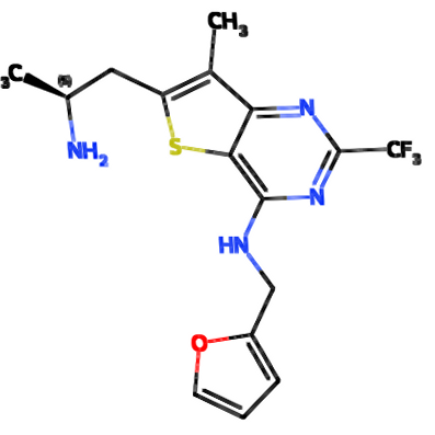 Cc1c(C[C@H](C)N)sc2c(NCc3ccco3)nc(C(F)(F)F)nc12